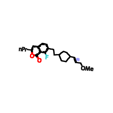 CCCc1cc2ccc(CCC3CCC(/C=C/COC)CC3)c(F)c2c(=O)o1